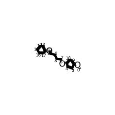 COc1ccc(OCCCCOc2ccccc2)cc1